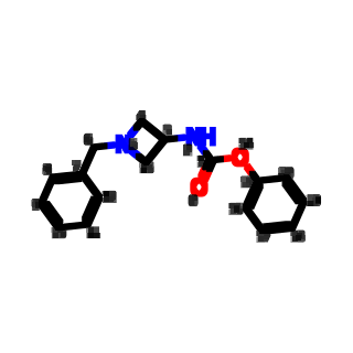 O=C(NC1CN(Cc2ccccc2)C1)Oc1ccccc1